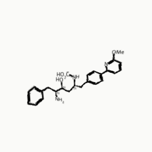 COc1cccc(-c2ccc(C[C@@H](C[C@H](O)[C@@H](N)Cc3ccccc3)NC(=O)O)cc2)n1